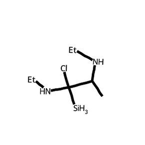 CCNC(C)C([SiH3])(Cl)NCC